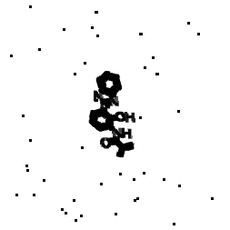 C=C(C)C(=O)Nc1cccc(-n2nc3ccccc3n2)c1O